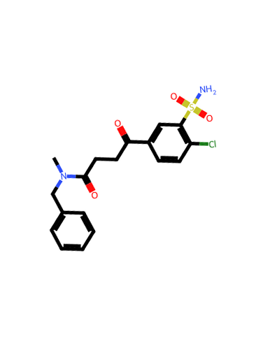 CN(Cc1ccccc1)C(=O)CCC(=O)c1ccc(Cl)c(S(N)(=O)=O)c1